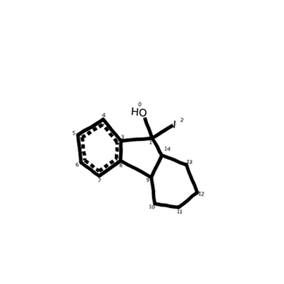 OC1(I)c2ccccc2C2CCCCC21